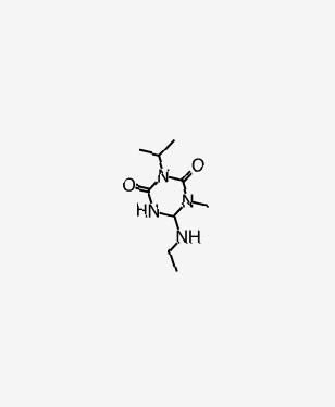 CCNC1NC(=O)N(C(C)C)C(=O)N1C